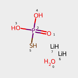 O.O=P(O)(O)S.[LiH].[LiH]